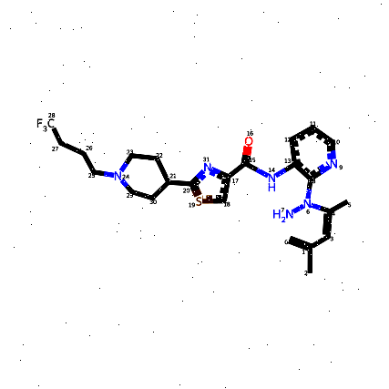 C=C(C)/C=C(/C)N(N)c1ncccc1NC(=O)c1csc(C2CCN(CCCC(F)(F)F)CC2)n1